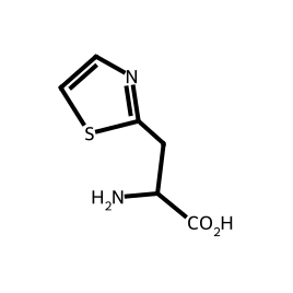 NC(Cc1nccs1)C(=O)O